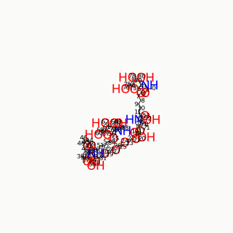 CC(=O)NC1[C@H](OCCCCCC(=O)NC(COP(=O)(O)OCCOCCOCCOCCOP(=O)(O)OC(C)C(COC(C)(C)C)NC(=O)CCCCCO[C@@H]2OC(CO)[C@@H](O)[C@H](O)C2NC(C)=O)C(C)O)OC(CO)[C@@H](O)[C@@H]1O